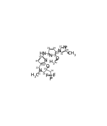 COc1nc(Nc2ccc3c(n2)OC(CC(F)(F)F)CN(C)C3)ccc1-n1cnc(C)c1